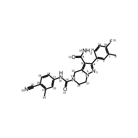 Cc1cc(-c2nn3c(c2C(N)=O)CN(C(=O)Nc2ccc(C#N)c(C)c2)CC3)ccc1F